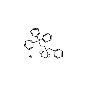 [Br-].c1ccc(CC2(CC[P+](c3ccccc3)(c3ccccc3)c3ccccc3)OCCO2)cc1